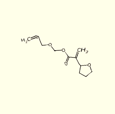 C=CCOCOC(=O)C(=C)C1CCCO1